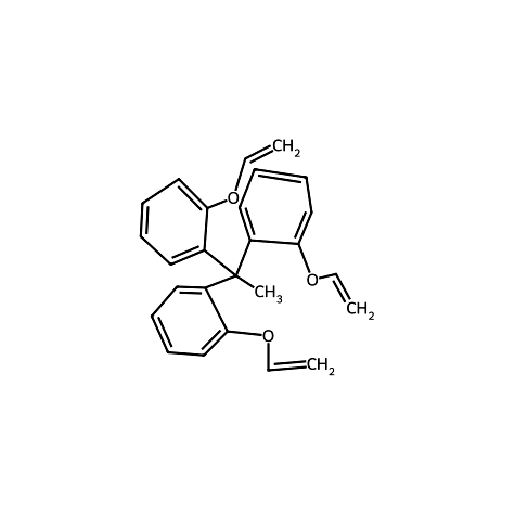 C=COc1ccccc1C(C)(c1ccccc1OC=C)c1ccccc1OC=C